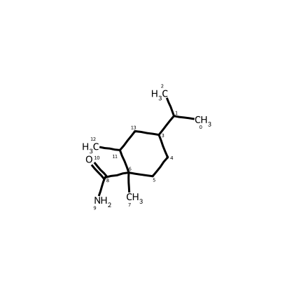 CC(C)C1CCC(C)(C(N)=O)C(C)C1